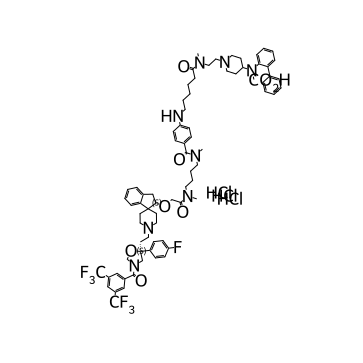 CN(CCN1CCC(N(C(=O)O)c2ccccc2-c2ccccc2)CC1)C(=O)CCCCCNc1ccc(C(=O)N(C)CCCCN(C)C(=O)CO[C@H]2Cc3ccccc3C23CCN(CC[C@]2(c4ccc(F)cc4)CN(C(=O)c4cc(C(F)(F)F)cc(C(F)(F)F)c4)CO2)CC3)cc1.Cl.Cl.Cl